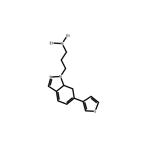 CCN(CC)CCCN1N=CC2=CC=C(c3ccsc3)CC21